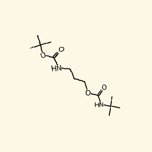 CC(C)(C)NC(=O)OCCCNC(=O)OC(C)(C)C